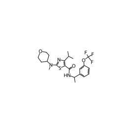 CC(C)c1nc(N(C)C2CCOCC2)sc1C(=O)NC(C)c1cccc(OC(F)(F)F)c1